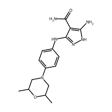 CC1CN(c2ccc(Nc3n[nH]c(N)c3C(N)=O)cc2)CC(C)O1